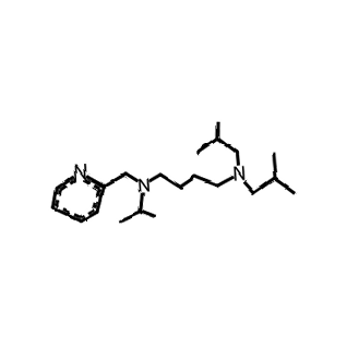 CC(C)CN(CCCCN(Cc1ccccn1)C(C)C)CC(C)C